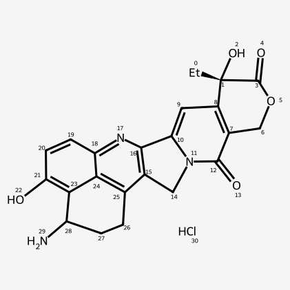 CC[C@@]1(O)C(=O)OCc2c1cc1n(c2=O)Cc2c-1nc1ccc(O)c3c1c2CCC3N.Cl